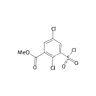 COC(=O)c1cc(Cl)cc(S(=O)(=O)Cl)c1Cl